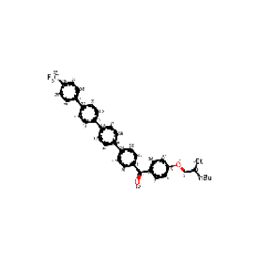 CCCCC(CC)COc1ccc(C(=O)c2ccc(-c3ccc(-c4ccc(-c5ccc(C(F)(F)F)cc5)cc4)cc3)cc2)cc1